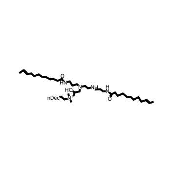 C/C=C/CCCCCCCCC(=O)NCCCNCCN(CCCNC(=O)CCCCCCCC/C=C/C)CC(O)C[N+](C)(C)CCCCCCCCCCCC